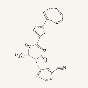 CC(NC(=O)c1ccc(C2=CCC=CC=C2)s1)C(C=O)Cc1cccc(C#N)c1